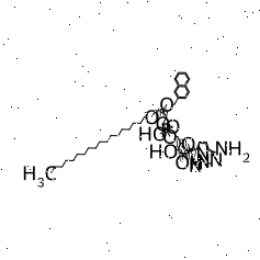 CCCCCCCCCCCCCCCCCCOC[C@H](COP(=O)(O)OC[C@H]1O[C@@](C#N)(c2ccc3c(N)ncnn23)[C@H](O)[C@@H]1O)OCc1ccc2ccccc2c1